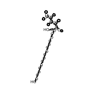 OCCOCCOCCOCCOCCOCCOCCOCCOCCOCCOCCOCCOCCOCCOCCOC(COCCO)COC(COc1ccccc1)COC(COc1ccccc1)COC(COc1ccccc1)COC(COc1ccccc1)COC(COc1ccccc1)CSc1ccccc1